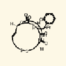 CC(C)[C@H]1NC(=O)[C@H]2CSSCC/C=C/[C@H](CC(=O)N[C@H](Cc3ccccc3)C(=O)N2)OC(=O)C[C@@H]1O